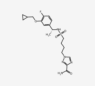 C[C@@H](NS(=O)(=O)CCCCn1cnc(C(N)=O)n1)c1ccc(F)c(OCC2CC2)c1